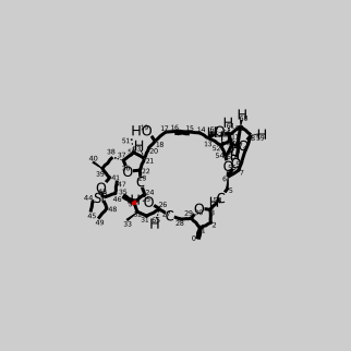 C=C1C[C@@H]2CC[C@@]34C[C@H]5O[C@@H]6[C@@H](O[C@@H](C/C=C/CC(O)C[C@H]7C(C[C@H]8O[C@@H](CCC1O2)C[C@@H](C)C8=C)O[C@H](C[C@H](C)CO[Si](CC)(CC)CC)[C@@H]7C)[C@H](C)[C@@H]6O3)[C@H]5O4